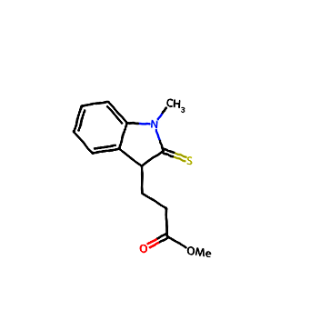 COC(=O)CCC1C(=S)N(C)c2ccccc21